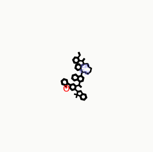 C=Cc1ccccc1C(=C)C1=c2\cccc\c2=C(c2ccc(C(=C)c3cc4c(cc3C3=Cc5ccccc5C3(C)C)oc3ccccc34)c3ccccc23)\C=C\CC\C=C\1